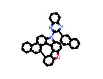 c1ccc2cc(-c3nc4ccccc4nc3-n3c4ccc5c6ccccc6cc6c5c4c4c5c(ccc43)oc3cccc-6c35)ccc2c1